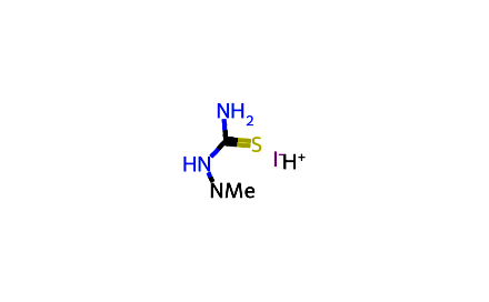 CNNC(N)=S.[H+].[I-]